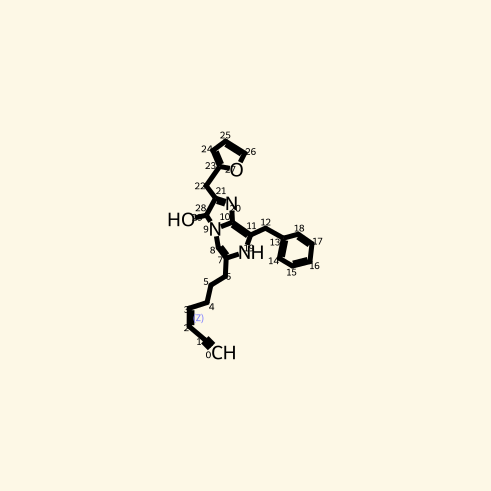 C#C/C=C\CCCC1=CN2C(=C(Cc3ccccc3)N1)N=C(Cc1ccco1)C2O